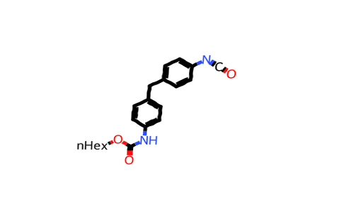 CCCCCCOC(=O)Nc1ccc(Cc2ccc(N=C=O)cc2)cc1